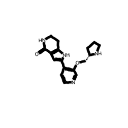 O=C1NCCc2[nH]c(-c3ccncc3OC[C@@H]3CCCN3)cc21